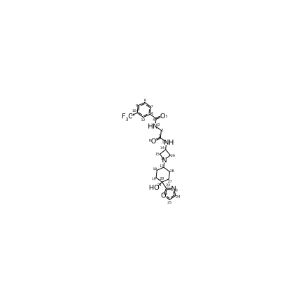 O=C(CNC(=O)c1cccc(C(F)(F)F)c1)NC1CN(C2CCC(O)(c3ncco3)CC2)C1